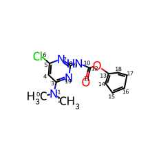 CN(C)c1cc(Cl)nc(NC(=O)Oc2ccccc2)n1